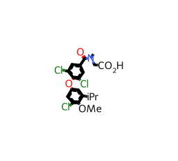 COc1c(Cl)cc(Oc2c(Cl)cc(C(=O)N(C)CC(=O)O)cc2Cl)cc1C(C)C